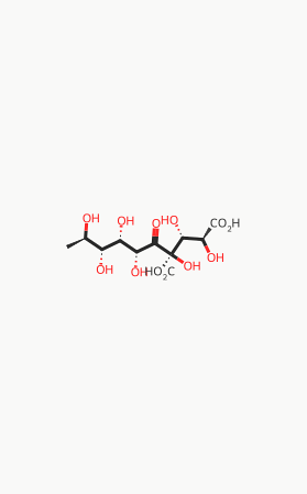 C[C@@H](O)[C@@H](O)[C@H](O)[C@@H](O)C(=O)[C@@](O)(C(=O)O)[C@H](O)[C@H](O)C(=O)O